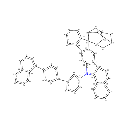 c1cc(-c2ccc(-c3cccc4ccccc34)cc2)cc(-n2c3cc4c(cc3c3ccc5ccccc5c32)C2(c3ccccc3-4)C3CC4CC(C3)CC2C4)c1